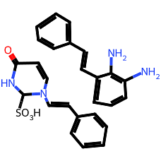 Nc1cccc(C=Cc2ccccc2)c1N.O=C1C=CN(C=Cc2ccccc2)C(S(=O)(=O)O)N1